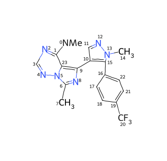 CNc1ncnn2c(C)nc(-c3cnn(C)c3-c3ccc(C(F)(F)F)cc3)c12